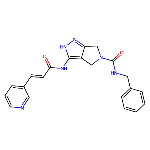 O=C(/C=C/c1cccnc1)Nc1[nH]nc2c1CN(C(=O)NCc1ccccc1)C2